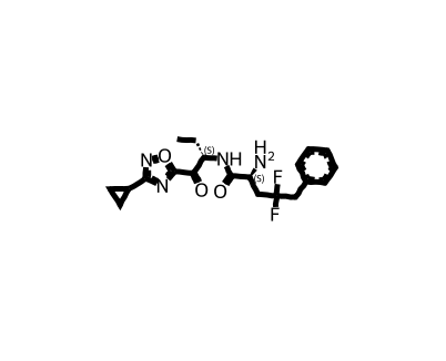 CC[C@H](NC(=O)[C@@H](N)CC(F)(F)Cc1ccccc1)C(=O)c1nc(C2CC2)no1